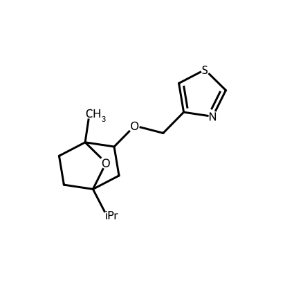 CC(C)C12CCC(C)(O1)C(OCc1cscn1)C2